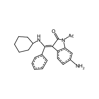 CC(=O)N1C(=O)/C(=C(\NC2CCCCC2)c2ccccc2)c2ccc(N)cc21